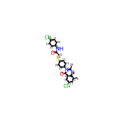 Cc1cc(Cl)cc2c(=O)n(-c3ccc(SCC(=O)Nc4ccc(Cl)cc4)cc3)c(C)nc12